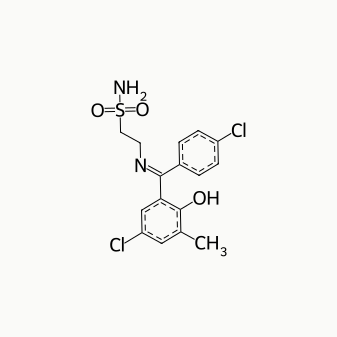 Cc1cc(Cl)cc(/C(=N/CCS(N)(=O)=O)c2ccc(Cl)cc2)c1O